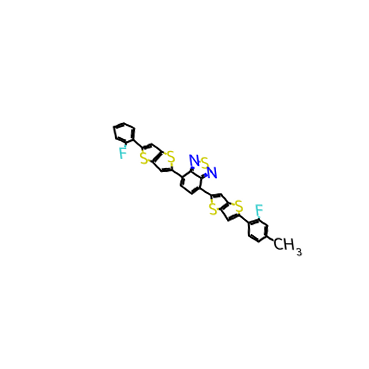 Cc1ccc(-c2cc3sc(-c4ccc(-c5cc6sc(-c7ccccc7F)cc6s5)c5nsnc45)cc3s2)c(F)c1